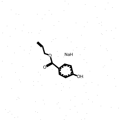 C=CCOC(=O)c1ccc(O)cc1.[NaH]